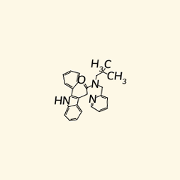 CC(C)CN(Cc1ccccn1)C(=O)Cc1c(-c2ccccc2)[nH]c2ccccc12